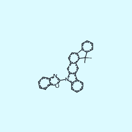 CC1(C)c2ccccc2-c2ccc3cc4c(cc3c21)c1ccccc1n4-c1nc2ccccc2o1